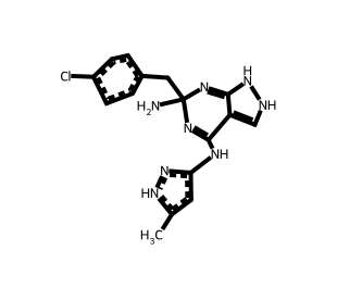 Cc1cc(NC2=NC(N)(Cc3ccc(Cl)cc3)N=C3NNC=C32)n[nH]1